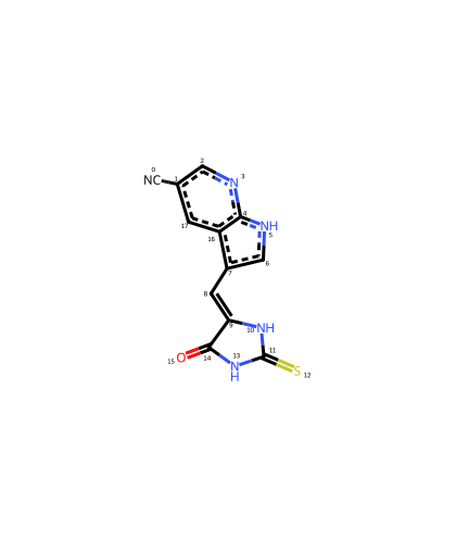 N#Cc1cnc2[nH]cc(C=C3NC(=S)NC3=O)c2c1